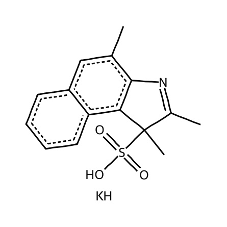 CC1=Nc2c(C)cc3ccccc3c2C1(C)S(=O)(=O)O.[KH]